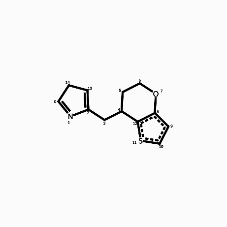 C1=NC(CC2CCOc3ccsc32)=CC1